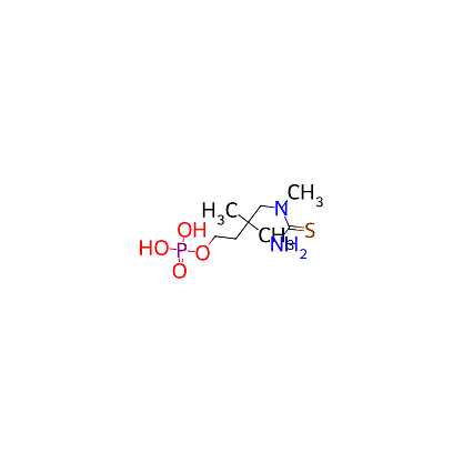 CN(CC(C)(C)CCOP(=O)(O)O)C(N)=S